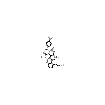 CN(C)c1ccc(N(C)N(N=O)C(C(N)=O)C(C(N)=O)N(N=O)N(C)c2ccccc2CCO)cc1